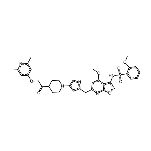 COc1ccccc1S(=O)(=O)Nc1noc2nc(Cn3cc(N4CCC(C(=O)COc5cc(C)nc(C)c5)CC4)cn3)cc(OC)c12